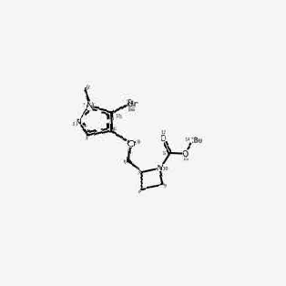 Cn1ncc(OC[C@@H]2CCN2C(=O)OC(C)(C)C)c1Br